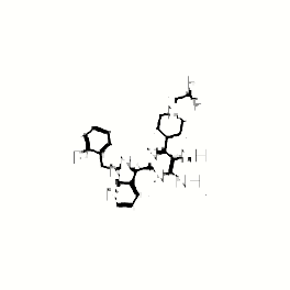 Nc1nc(-c2nn(Cc3ccccc3F)c3ncccc23)nc(C2CCN(CC(F)F)CC2)c1N